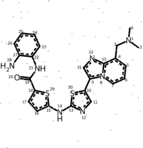 CN(C)Cc1cccn2c(-c3cnc(Nc4ccc(C(=O)Nc5ccccc5N)s4)s3)cnc12